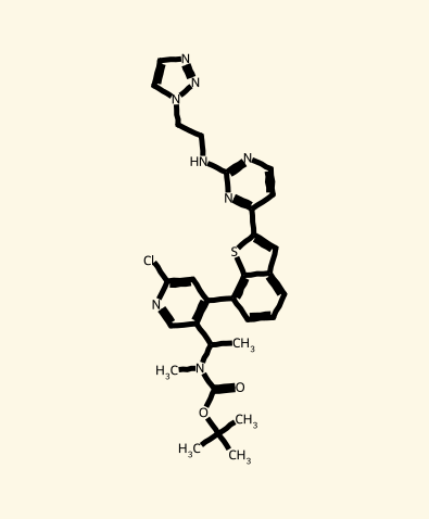 CC(c1cnc(Cl)cc1-c1cccc2cc(-c3ccnc(NCCn4ccnn4)n3)sc12)N(C)C(=O)OC(C)(C)C